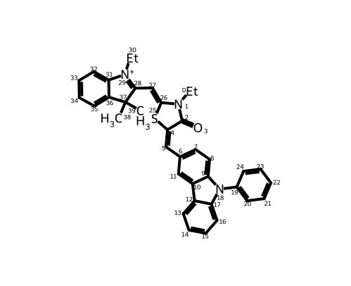 CCn1c(=O)/c(=C\c2ccc3c(c2)c2ccccc2n3-c2ccccc2)s/c1=C\C1=[N+](CC)c2ccccc2C1(C)C